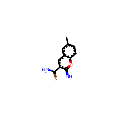 Cc1ccc2oc(=N)c(C(N)=S)cc2c1